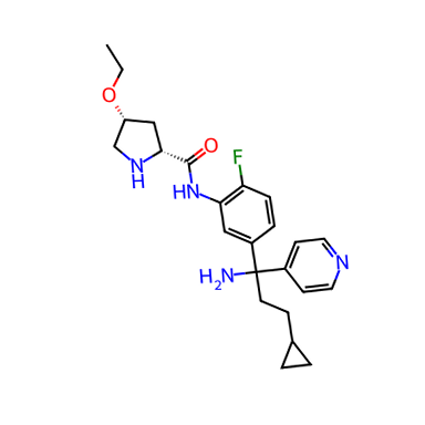 CCO[C@H]1CN[C@@H](C(=O)Nc2cc(C(N)(CCC3CC3)c3ccncc3)ccc2F)C1